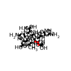 CC(=O)N[C@H](C(=O)N[C@@H](CC(N)=O)C(=O)N[C@@H](CC(=O)O)C(=O)N[C@@H](C)C(=O)N[C@@H](CCC(=O)O)C(=O)N[C@@H](CC(=O)O)C(=O)N[C@@H](CC(N)=O)C(N)=O)[C@@H](C)O